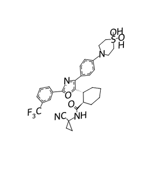 N#CC1(NC(=O)[C@@H]2CCCC[C@H]2c2oc(-c3cccc(C(F)(F)F)c3)nc2-c2ccc(N3CCS(O)(O)CC3)cc2)CC1